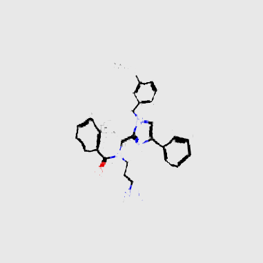 COc1cccc(Cn2cc(-c3ccccc3)nc2[C@H](N(CCCN)C(=O)c2ccccc2)C(C)(C)C)c1